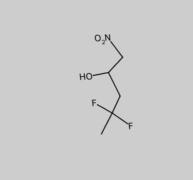 CC(F)(F)CC(O)C[N+](=O)[O-]